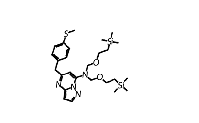 CSc1ccc(Cc2cc(N(COCC[Si](C)(C)C)COCC[Si](C)(C)C)n3nccc3n2)cc1